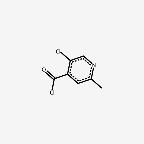 Cc1cc(C(=O)Cl)c(Cl)cn1